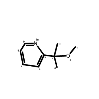 COC(C)(C)c1ccccn1